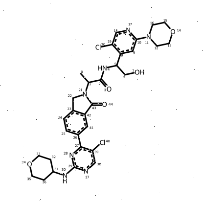 CC(C(=O)NC(CO)c1cc(N2CCOCC2)ncc1Cl)N1Cc2ccc(-c3nc(NC4CCOCC4)ncc3Cl)cc2C1=O